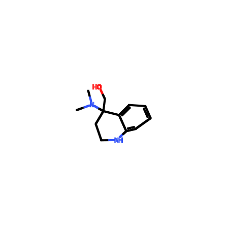 CN(C)C1(CO)CCNc2ccccc21